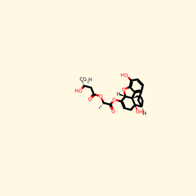 C[C@H](OC(=O)C[C@H](O)C(=O)O)C(=O)OC1=CC[C@@]2(O)[C@@H]3CCC[C@@]24c2c(ccc(O)c2O[C@@H]14)C3